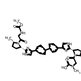 COC(=O)NCC(=O)N1[C@@H](C)CC[C@H]1c1nc(-c2ccc(-c3ccc(-c4c[nH]c([C@@H]5CC[C@H](C)N5C(=O)CN(C)C(=O)O)n4)cc3)cc2)c[nH]1